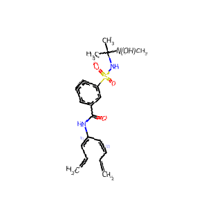 C=C/C=C\C(=C/C=C)NC(=O)c1cccc(S(=O)(=O)NC(C)(C)N(C)O)c1